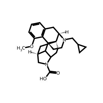 COc1cccc2c1[C@]13CCN(CC4CC4)[C@H](C2)[C@]12CCC1C3[C@@H](CN1C(=O)O)C2